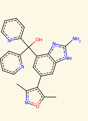 Cc1noc(C)c1-c1cc(C(O)(c2ccccn2)c2ccccn2)c2nc(N)[nH]c2c1